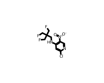 O=[N+]([O-])c1cnc(Cl)cc1NCC(CF)(CF)CF